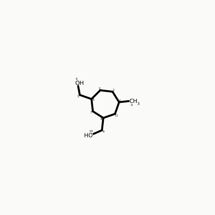 CC1CCC(CO)CC(CO)C1